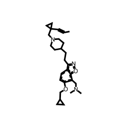 CC#CC1(CN2CCC(CCc3noc4c(CN(C)C)c(OCC5CC5)ccc34)CC2)CC1